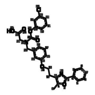 Cc1oc(-c2ccccc2)nc1CCOc1cccc(CN(CC(=O)O)C(=O)Oc2cccc(Cl)c2)c1